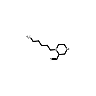 CCCCCCN1CCNCC1[C]=O